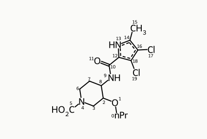 CCCOC1CN(C(=O)O)CCC1NC(=O)c1[nH]c(C)c(Cl)c1Cl